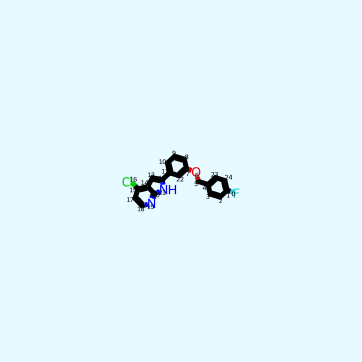 Fc1ccc(COc2cccc(-c3cc4c(Cl)ccnc4[nH]3)c2)cc1